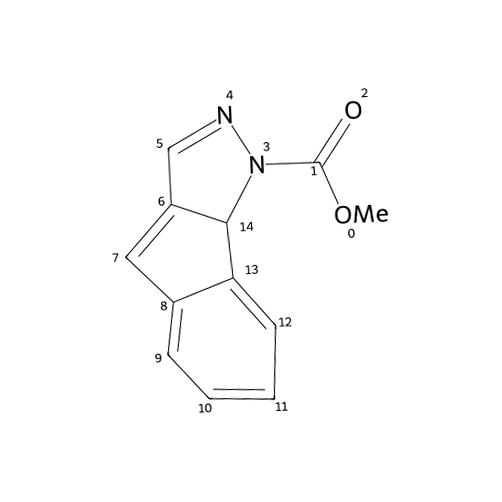 COC(=O)N1N=CC2=Cc3ccccc3C21